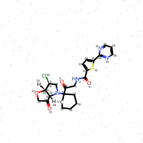 O=C(NCC(=O)C1(N2C[C@H](Cl)[C@H]3OCC(=O)[C@H]32)CCCCC1)c1ccc(-c2ncccn2)s1